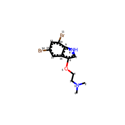 CN(C)CCOc1c[nH]c2c(Br)cc(Br)cc12